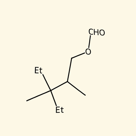 CCC(C)(CC)C(C)COC=O